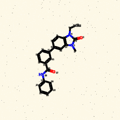 Cn1c(=O)n(CC(C)(C)C)c2ccc(-c3cccc(C(=O)Nc4ccccc4)c3)cc21